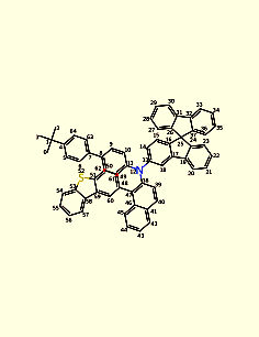 CC(C)(C)c1ccc(-c2ccc(N(c3ccc4c(c3)-c3ccccc3C43c4ccccc4-c4ccccc43)c3ccc4ccccc4c3-c3ccc4sc5ccccc5c4c3)cc2)cc1